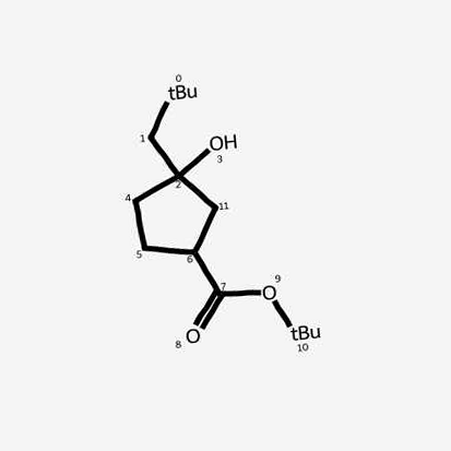 CC(C)(C)CC1(O)CCC(C(=O)OC(C)(C)C)C1